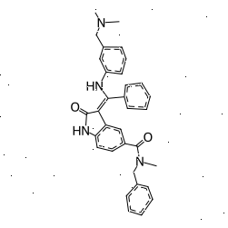 CN(C)Cc1cccc(N/C(=C2\C(=O)Nc3ccc(C(=O)N(C)Cc4ccccc4)cc32)c2ccccc2)c1